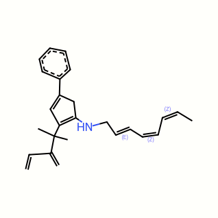 C=CC(=C)C(C)(C)C1=C(NC/C=C/C=C\C=C/C)CC(c2ccccc2)=C1